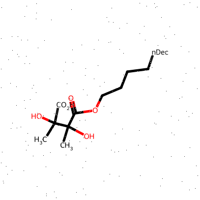 CCCCCCCCCCCCCCOC(=O)C(C)(O)C(C)(O)C(=O)O